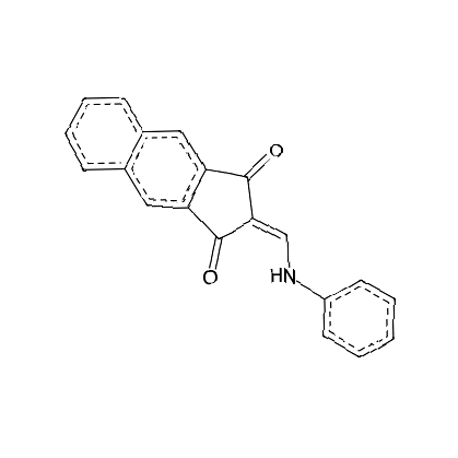 O=C1C(=CNc2ccccc2)C(=O)c2cc3ccccc3cc21